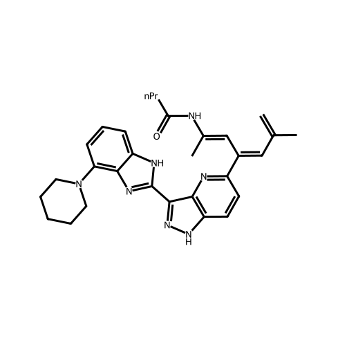 C=C(C)/C=C(\C=C(/C)NC(=O)CCC)c1ccc2[nH]nc(-c3nc4c(N5CCCCC5)cccc4[nH]3)c2n1